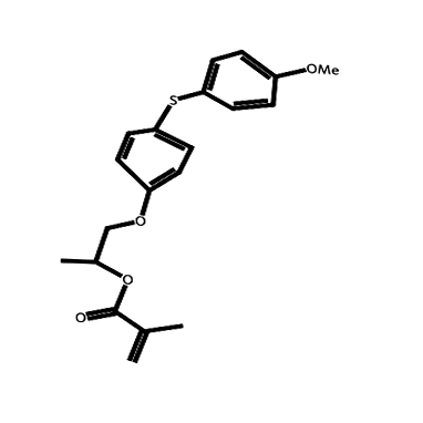 C=C(C)C(=O)OC(C)COc1ccc(Sc2ccc(OC)cc2)cc1